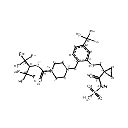 CS(=O)(=O)NC(=O)C1(COc2cc(C(F)(F)F)ccc2CN2CCN(C(=O)OC(C(F)(F)F)C(F)(F)F)CC2)CC1